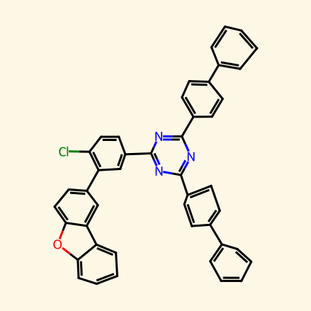 Clc1ccc(-c2nc(-c3ccc(-c4ccccc4)cc3)nc(-c3ccc(-c4ccccc4)cc3)n2)cc1-c1ccc2oc3ccccc3c2c1